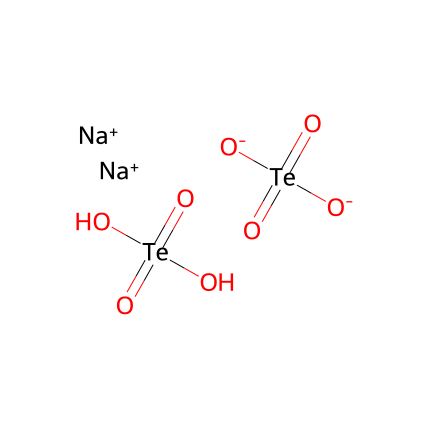 O=[Te](=O)(O)O.O=[Te](=O)([O-])[O-].[Na+].[Na+]